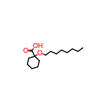 CCCCCCCCOC1(C(=O)O)CCCCC1